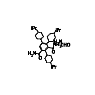 CC(C)C1CCC(c2cc(C(N)=O)c(C3CCC(C(C)C)CC3)c(C(N)=O)c2C2CCC(C(C)C)CC2)CC1.NC=O